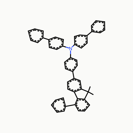 CC1(C)c2cc(-c3ccc(N(c4ccc(-c5ccccc5)cc4)c4ccc(-c5ccccc5)cc4)cc3)ccc2-c2c(-c3ccccc3)cccc21